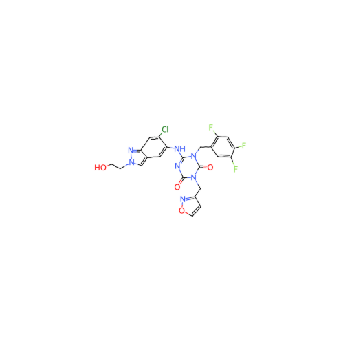 O=c1nc(Nc2cc3cn(CCO)nc3cc2Cl)n(Cc2cc(F)c(F)cc2F)c(=O)n1Cc1ccon1